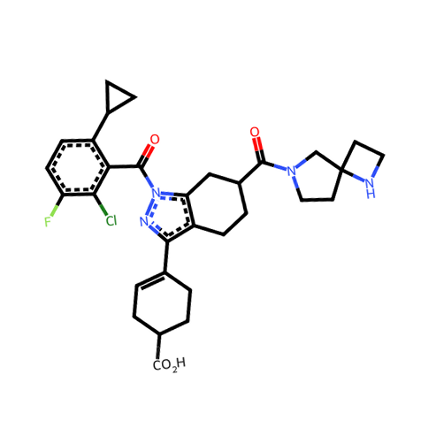 O=C(O)C1CC=C(c2nn(C(=O)c3c(C4CC4)ccc(F)c3Cl)c3c2CCC(C(=O)N2CCC4(CCN4)C2)C3)CC1